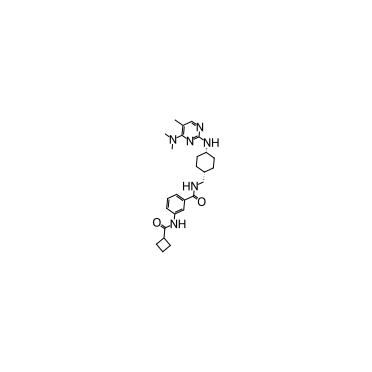 Cc1cnc(N[C@H]2CC[C@@H](CNC(=O)c3cccc(NC(=O)C4CCC4)c3)CC2)nc1N(C)C